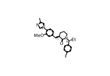 CC[C@@H](c1ccc(F)cc1)N1CCC/C(=C\c2ccc(-n3cnc(C)c3)c(OC)c2)C1=O